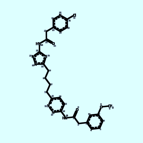 O=C(Cc1cccc(OC(F)(F)F)c1)Nc1ccc(CCCCc2nnc(NC(=O)Cc3ccc(Cl)nc3)s2)nn1